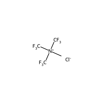 C[N+](C(F)(F)F)(C(F)(F)F)C(F)(F)F.[Cl-]